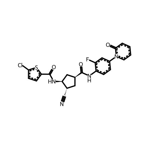 N#C[C@H]1C[C@H](C(=O)Nc2ccc(-n3ccccc3=O)cc2F)C[C@@H]1NC(=O)c1ccc(Cl)s1